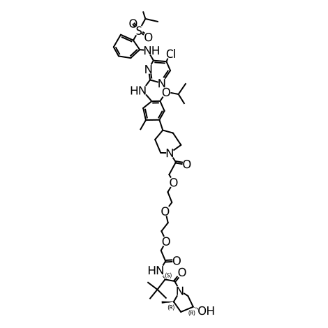 Cc1cc(Nc2ncc(Cl)c(Nc3ccccc3S(=O)(=O)C(C)C)n2)c(OC(C)C)cc1C1CCN(C(=O)COCCOCCOCC(=O)N[C@H](C(=O)N2C[C@H](O)C[C@H]2C)C(C)(C)C)CC1